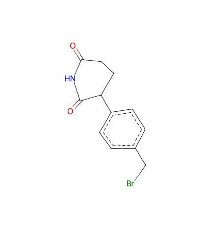 O=C1CCC(c2ccc(CBr)cc2)C(=O)N1